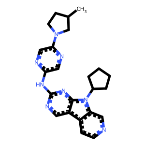 CC1CCN(c2cnc(Nc3ncc4c5ccncc5n(C5CCCC5)c4n3)cn2)C1